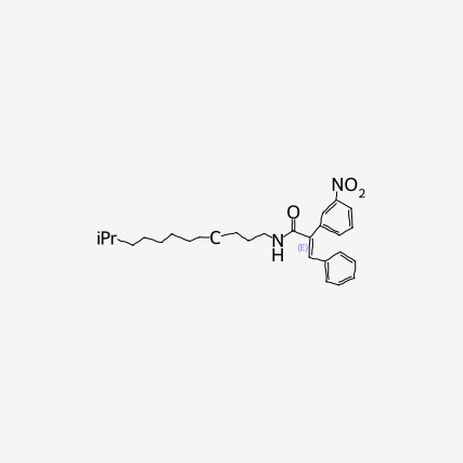 CC(C)CCCCCCCCCCNC(=O)/C(=C/c1ccccc1)c1cccc([N+](=O)[O-])c1